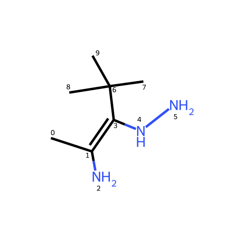 C/C(N)=C(/NN)C(C)(C)C